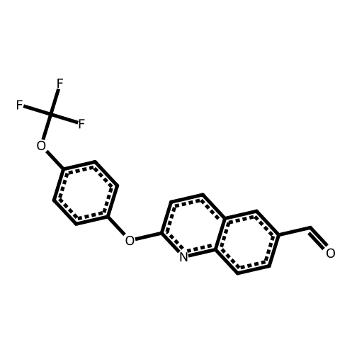 O=Cc1ccc2nc(Oc3ccc(OC(F)(F)F)cc3)ccc2c1